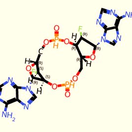 Nc1ncnc2c1ncn2[C@@H]1O[C@@H]2CO[PH](=O)O[C@@H]3[C@@H](F)[C@@H](CO[PH](=O)O[C@H]2[C@H]1F)O[C@H]3n1cnc2c(N)ncnc21